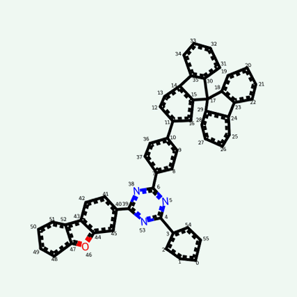 c1ccc(-c2nc(-c3ccc(-c4ccc5c(c4)C4(c6ccccc6-c6ccccc64)c4ccccc4-5)cc3)nc(-c3ccc4c(c3)oc3ccccc34)n2)cc1